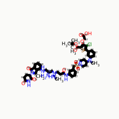 C=C1c2c(NC/C(N)=C/N(CCC(=O)Nc3cccc(CS(=O)(=O)N4CCC(N(C)c5cccc(-c6sc(C(=O)OC(C)(C)C)c(OCC(=O)O)c6Cl)c5)CC4)c3)NC)cccc2C(=O)N1C1CCC(=O)NC1=O